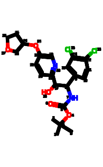 CC(C)(C)OC(=O)NC(c1ccc(Cl)c(Cl)c1)C(O)c1ccc(OC2CCOC2)cn1